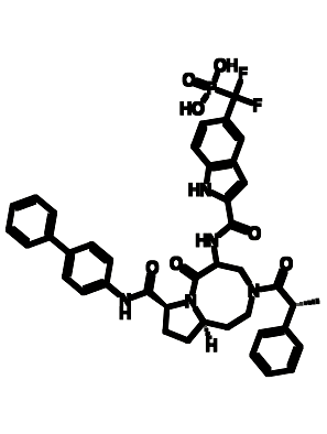 C[C@@H](C(=O)N1CC[C@H]2CC[C@@H](C(=O)Nc3ccc(-c4ccccc4)cc3)N2C(=O)C(NC(=O)c2cc3cc(C(F)(F)P(=O)(O)O)ccc3[nH]2)C1)c1ccccc1